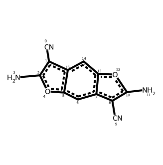 N#Cc1c(N)oc2cc3c(C#N)c(N)oc3cc12